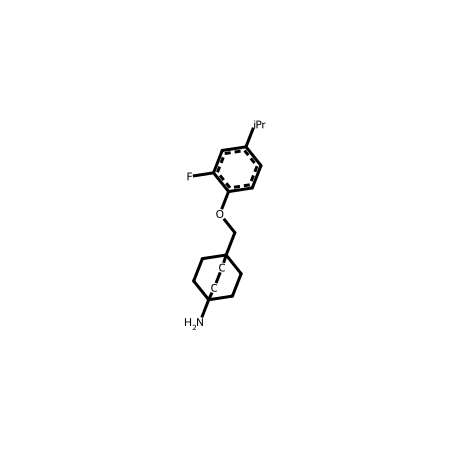 CC(C)c1ccc(OCC23CCC(N)(CC2)CC3)c(F)c1